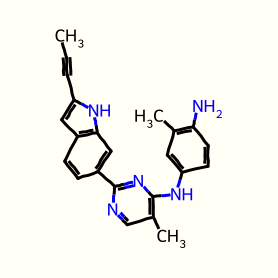 CC#Cc1cc2ccc(-c3ncc(C)c(Nc4ccc(N)c(C)c4)n3)cc2[nH]1